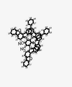 N#Cc1c(C#N)c(-n2c3ccccc3c3c4oc5ccccc5c4ccc32)c(-n2c3ccccc3c3cc(-c4ccccc4)ccc32)c(-n2c3ccccc3c3cc(-c4ccccc4)ccc32)c1-n1c2ccccc2c2c3oc4ccccc4c3ccc21